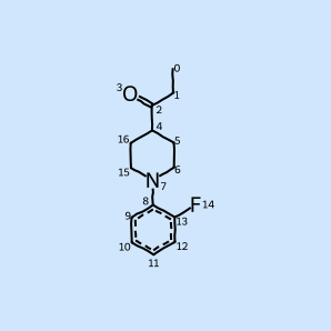 CCC(=O)C1CCN(c2ccccc2F)CC1